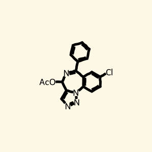 CC(=O)OC1N=C(c2ccccc2)c2cc(Cl)ccc2-n2nncc21